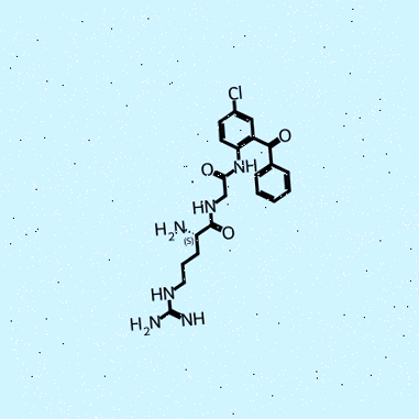 N=C(N)NCCC[C@H](N)C(=O)NCC(=O)Nc1ccc(Cl)cc1C(=O)c1ccccc1